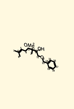 CO[C@](C)(CCC=C(C)C)[C@H](O)COCc1ccccc1